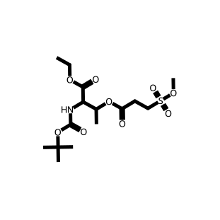 CCOC(=O)C(NC(=O)OC(C)(C)C)C(C)OC(=O)CCS(=O)(=O)OC